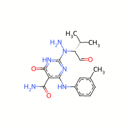 Cc1cccc(Nc2nc(N(N)[C@@H](C=O)C(C)C)[nH]c(=O)c2C(N)=O)c1